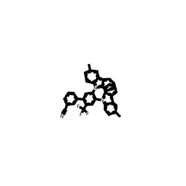 Cc1ccc2c(c1)c1ccccc1n2-c1cc(-c2cccc(C#N)c2)c(C(F)(F)F)cc1-n1c2ccccc2c2cc(C)ccc21